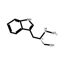 O=[N+]([O-])N[C@H](CO)Cc1c[nH]c2ccccc12